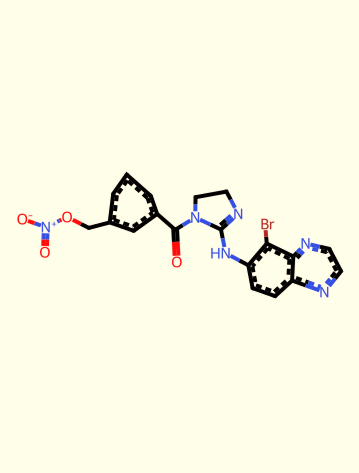 O=C(c1cccc(CO[N+](=O)[O-])c1)N1CCN=C1Nc1ccc2nccnc2c1Br